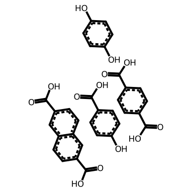 O=C(O)c1ccc(C(=O)O)cc1.O=C(O)c1ccc(O)cc1.O=C(O)c1ccc2cc(C(=O)O)ccc2c1.Oc1ccc(O)cc1